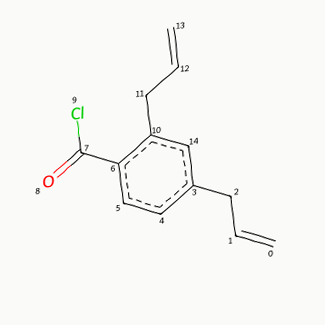 C=CCc1ccc(C(=O)Cl)c(CC=C)c1